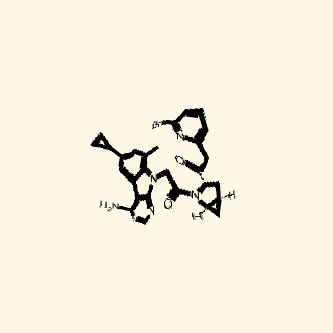 Cc1cc(C2CC2)cc2c3c(N)ncnc3n(CC(=O)N3[C@@H]4C[C@@H]4C[C@H]3C(=O)Cc3cccc(Br)n3)c12